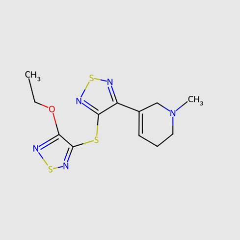 CCOc1nsnc1Sc1nsnc1C1=CCCN(C)C1